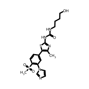 Cc1nc(NC(=O)NCCCCO)sc1-c1ccc(S(C)(=O)=O)c(-n2ccnc2)c1